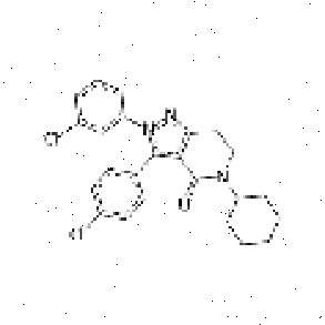 O=C1c2c(nn(-c3cccc(Cl)c3)c2-c2ccc(Cl)cc2)CCN1C1CCCCC1